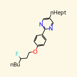 CCCCCCCc1cnc(-c2ccc(OCCC(F)CCCC)cc2)nc1